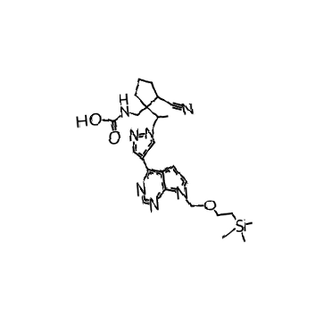 CC(n1cc(-c2ncnc3c2ccn3COCC[Si](C)(C)C)cn1)C1(CNC(=O)O)CCCC1C#N